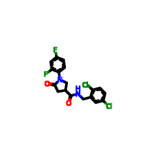 O=C(NCc1cc(Cl)ccc1Cl)C1CC(=O)N(c2ccc(F)cc2F)C1